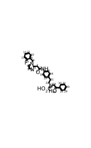 O=C(Cc1nccn1Cc1ccccc1F)Nc1ccc(CCN(C[C@H](O)c2ccccc2)C(=O)O)cc1